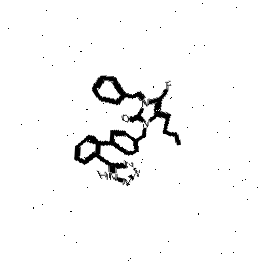 CCCCc1c(F)n(Cc2ccccc2)c(=O)n1Cc1ccc(-c2ccccc2-c2nnn[nH]2)cc1